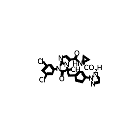 CC1(Cc2ccc(-n3nccn3)cc2)C(=O)N(c2cc(Cl)cc(Cl)c2)c2ncc(C(=O)NC3(C(=O)O)CC3)n21